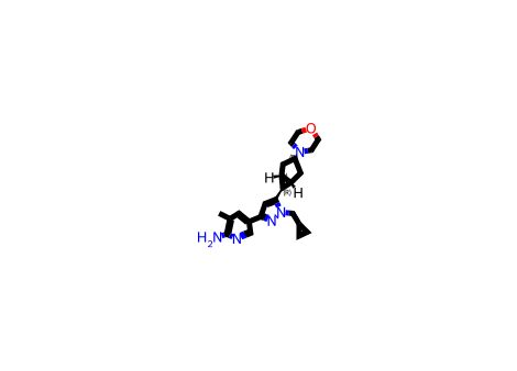 Cc1cc(-c2cc([C@H]3[C@@H]4C[C@H](N5CCOCC5)C[C@@H]43)n(CC3CC3)n2)cnc1N